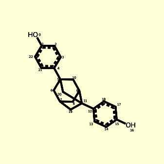 Oc1ccc(C23CC4CC(C2)C(c2ccc(O)cc2)(C4)C3)cc1